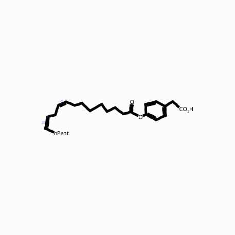 CCCCC/C=C\C/C=C\CCCCCCCC(=O)Oc1ccc(CC(=O)O)cc1